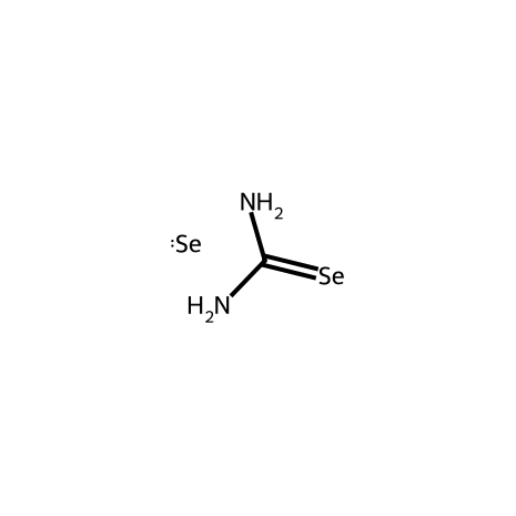 NC(N)=[Se].[Se]